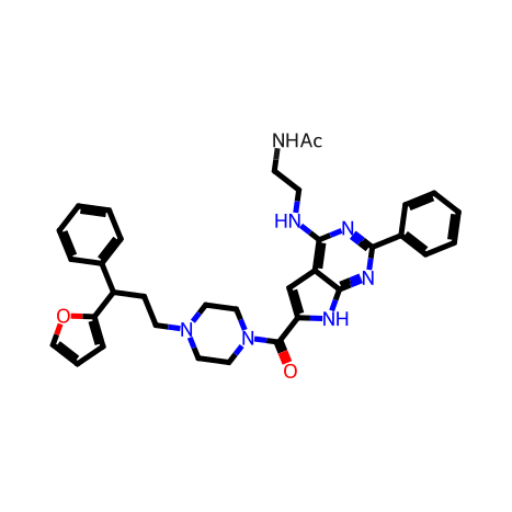 CC(=O)NCCNc1nc(-c2ccccc2)nc2[nH]c(C(=O)N3CCN(CCC(c4ccccc4)c4ccco4)CC3)cc12